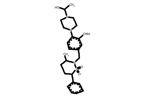 COc1cc(CN2C(C)CCC(c3ccccc3)S2(=O)=O)ccc1N1CCN(C(C)O)CC1